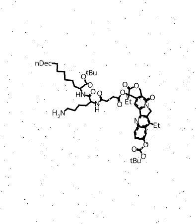 CCCCCCCCCCCCCCCCC(NC(=O)C(CCCCN)NC(=O)CCC(=O)O[C@]1(CC)C(=O)OCc2c1cc1n(c2=O)Cc2c-1nc1ccc(OC(=O)OC(C)(C)C)cc1c2CC)C(=O)OC(C)(C)C